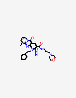 Cc1cccn2c(=O)c3cc(C(=O)NCCCN4CCOCC4)c(=N)n(CCc4ccccc4)c3nc12